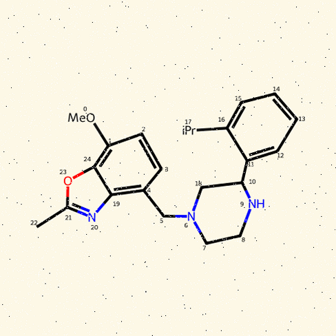 COc1ccc(CN2CCNC(c3ccccc3C(C)C)C2)c2nc(C)oc12